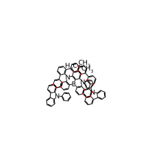 CC(C)(C)c1cc2c3c(c1)N(c1c(-c4ccccc4)cccc1-c1ccccc1)c1cc(-c4cccc5c6ccccc6n(-c6ccccc6)c45)ccc1B3c1ccc(-c3cccc4c5ccccc5n(-c5ccccc5)c34)cc1N2c1c(-c2ccccc2)cccc1-c1ccccc1